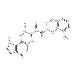 CC1=C(c2c(Br)cnn2C)CC(=S)C(C(=O)N[C@H](CN)Cc2ccccc2C(F)(F)F)=C1